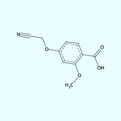 COc1cc(OCC#N)ccc1C(=O)O